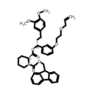 C=CCOCCOc1cccc([C@@H](CCc2ccc(OC)c(OC)c2)OC(=O)[C@@H]2CCCCN2C(=O)OCC2c3ccccc3-c3ccccc32)c1